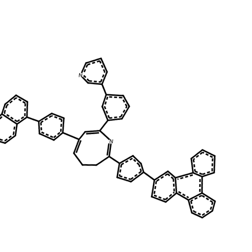 C1=C(c2cccc(-c3cccnc3)c2)\N=C(\c2ccc(-c3ccc4c5ccccc5c5ccccc5c4c3)cc2)CC\C=C/1c1ccc(-c2cccc3ccccc23)cc1